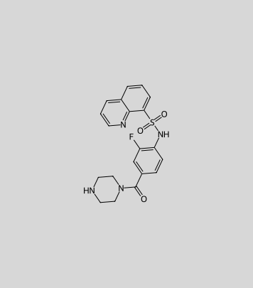 O=C(c1ccc(NS(=O)(=O)c2cccc3cccnc23)c(F)c1)N1CCNCC1